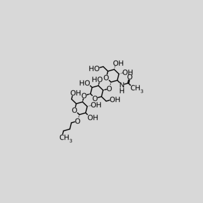 CCCCO[C@@H]1OC(CO)[C@@H](O[C@@H]2OC(CO)[C@H](O[C@@H]3OC(CO)[C@H](O)[C@H](O)C3NC(C)=O)[C@H](O)C2O)[C@H](O)C1O